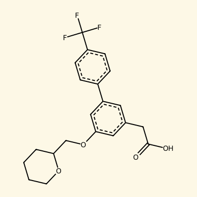 O=C(O)Cc1cc(OCC2CCCCO2)cc(-c2ccc(C(F)(F)F)cc2)c1